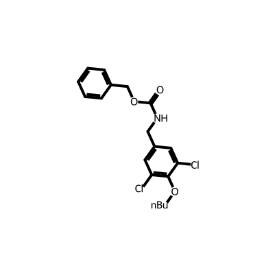 CCCCOc1c(Cl)cc(CNC(=O)OCc2ccccc2)cc1Cl